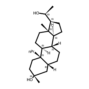 CCC[C@]12CC[C@@](C)(O)C[C@H]1CC[C@H]1[C@@H]3CC[C@H]([C@H](C)O)[C@@]3(C)CC[C@@H]12